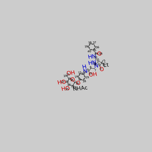 CCC(C)(C)C(=O)N(CCC(O)Nc1ccc(OC2OC(CO)C(O)C(O)C2NC(C)=O)cc1)NCNC(=O)c1ccccc1